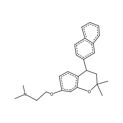 CN(C)CCOc1ccc2c(c1)OC(C)(C)CC2c1ccc2ccccc2c1